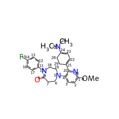 COc1ccc(N2CCC(=O)N(c3ccc(F)cc3)CC2)c(C2=CC=C(N(C)C)CC2)n1